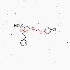 O=C(O)C(CCOCCOc1ccc(Cl)cc1)S(=O)(=O)CCc1ccccc1